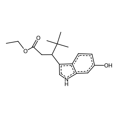 CCOC(=O)CC(c1c[nH]c2cc(O)ccc12)C(C)(C)C